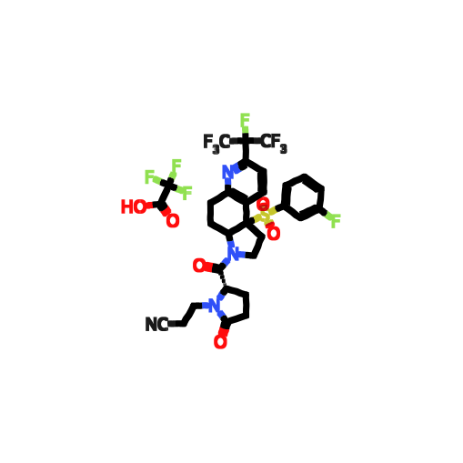 N#CCCN1C(=O)CC[C@H]1C(=O)N1CCC2(S(=O)(=O)c3cccc(F)c3)c3ccc(C(F)(C(F)(F)F)C(F)(F)F)nc3CCC12.O=C(O)C(F)(F)F